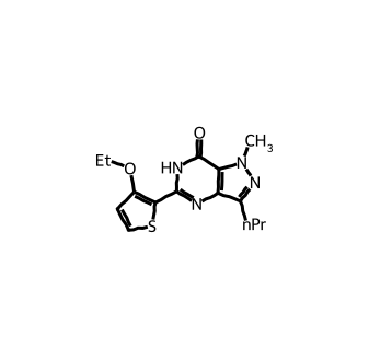 CCCc1nn(C)c2c(=O)[nH]c(-c3sccc3OCC)nc12